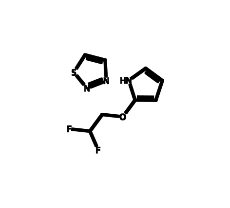 FC(F)COc1ccc[nH]1.c1csnn1